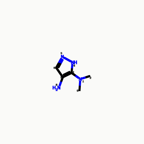 CN(C)c1[nH]ncc1N